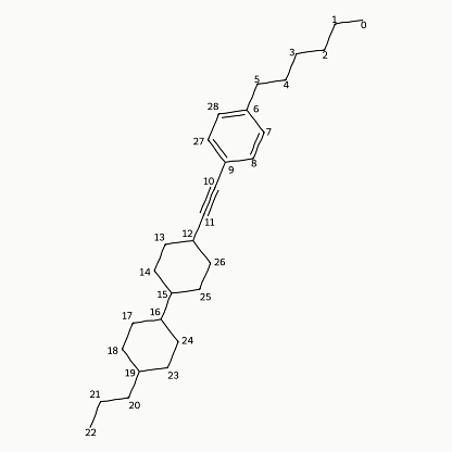 CCCCCCc1ccc(C#CC2CCC(C3CCC(CCC)CC3)CC2)cc1